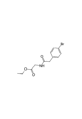 CCOC(=O)CNC(=O)Cc1ccc(Br)cc1